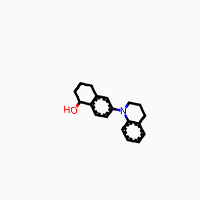 OC1CCCc2cc(N3CCCc4ccccc43)ccc21